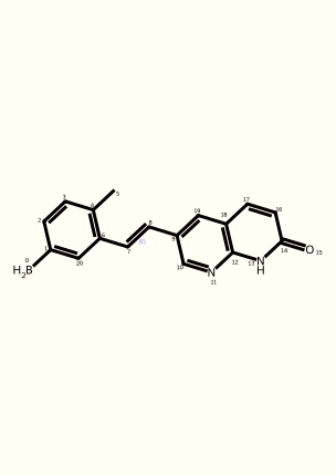 Bc1ccc(C)c(/C=C/c2cnc3[nH]c(=O)ccc3c2)c1